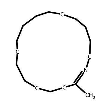 CC1=NCCCCCCCCCCCCCCC1